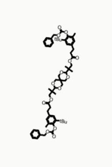 Cc1cc(CCC(=O)OCC(C)(C)C2OCC3(CO2)COC(C(C)(C)COC(=O)CCc2cc(C)c(OC(=O)OCc4ccccc4)c(C(C)(C)C)c2)OC3)cc(C(C)(C)C)c1OC(=O)OCc1ccccc1